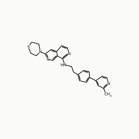 Cc1cc(-c2ccc(CCNc3nccc4cc(N5CCSCC5)ncc34)cc2)ccn1